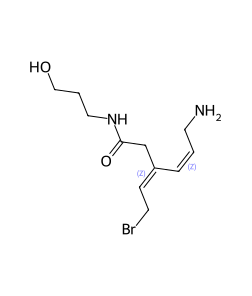 NC/C=C\C(=C/CBr)CC(=O)NCCCO